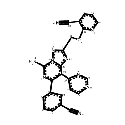 N#Cc1cccc(-c2nc(N)n3nc(COc4ncccc4C#N)nc3c2-c2ccncn2)c1